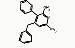 Nc1cc(Cc2ccccc2)c(-c2ccccc2)c(N)n1